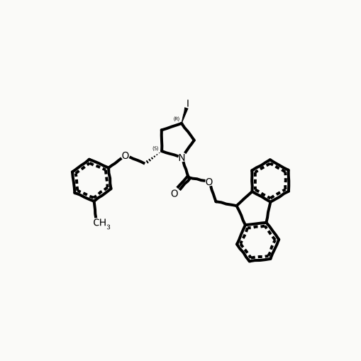 Cc1cccc(OC[C@@H]2C[C@@H](I)CN2C(=O)OCC2c3ccccc3-c3ccccc32)c1